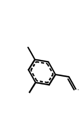 [CH]=Cc1cc(C)cc(C)c1